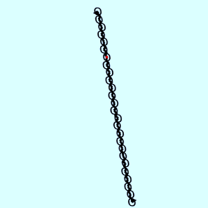 C(COCCOCCOCCOCCOCCOCCOCCOCCOCCOCCOCCOCC1CO1)OCCOCCOCCOCCOCCOCCOCCOCCOCCOCCOCCOCC1CO1